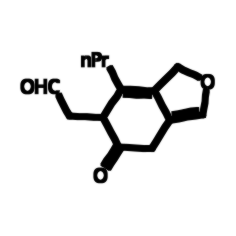 CCCC1=C2COC=C2CC(=O)C1CC=O